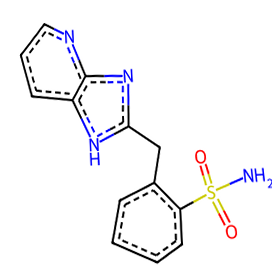 NS(=O)(=O)c1ccccc1Cc1nc2ncccc2[nH]1